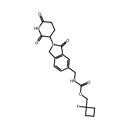 O=C1CCC(N2Cc3ccc(CNC(=O)OCC4(F)CCC4)cc3C2=O)C(=O)N1